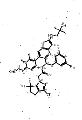 Cc1c(-c2cc3sc(NCC(C)(C)O)nc3nc2C(Cc2cc(F)cc(F)c2)NC(=O)Cn2nc(C(F)(F)F)c3c2C(F)(F)CC3)cc/c(=N/NC=O)n1C